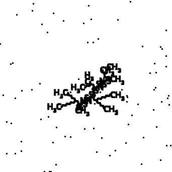 CCCCCCCCC(CCCCCC)Cc1cc(C)sc1-c1nc2sc(-c3sc(-c4cc(CC(CC)CCCC)c(-c5nc6sc(-c7sc(C)cc7CC(CC)CCCC)nc6s5)s4)cc3CC(CCCCCC)CCCCCCCC)nc2s1